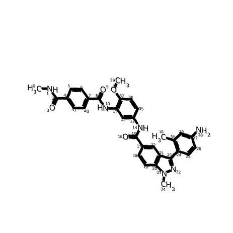 CNC(=O)c1ccc(C(=O)Nc2cc(NC(=O)c3ccc4c(c3)c(-c3ccc(N)cc3C)nn4C)ccc2OC)cc1